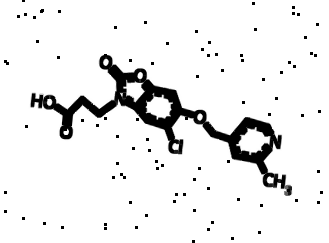 Cc1cc(COc2cc3oc(=O)n(CCC(=O)O)c3cc2Cl)ccn1